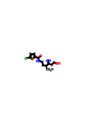 N=C(CCO)[C@H](CCNC(=O)c1ccc(Cl)s1)C(=O)O